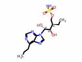 CCCc1ncnc2c1ncn2[C@H](O)[C@H](O)[C@H](CC)COS(N)(=O)=O